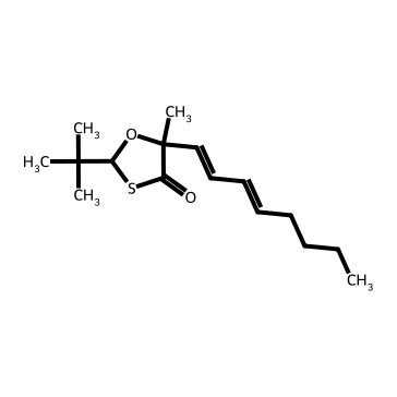 CCCCC=CC=CC1(C)OC(C(C)(C)C)SC1=O